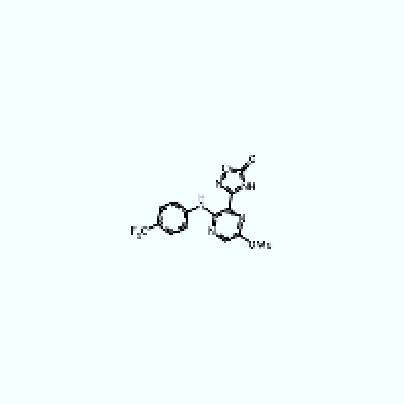 COc1cnc(Nc2ccc(C(F)(F)F)cc2)c(-c2noc(=O)[nH]2)n1